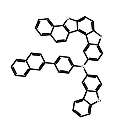 c1ccc2cc(-c3ccc(N(c4ccc5oc6ccccc6c5c4)c4ccc5sc6ccc7oc8c9ccccc9ccc8c7c6c5c4)cc3)ccc2c1